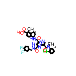 Cc1c(C(=O)O)ccc2c1CC[C@@H]2NC(=O)c1cc(C(=O)NCc2ccc(F)c(F)c2)nc2c(C(=O)N(C)c3ccccc3Cl)cnn12